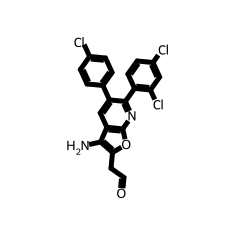 Nc1c(CC=O)oc2nc(-c3ccc(Cl)cc3Cl)c(-c3ccc(Cl)cc3)cc12